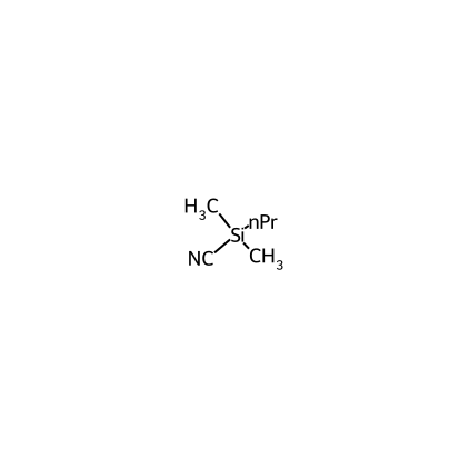 CCC[Si](C)(C)C#N